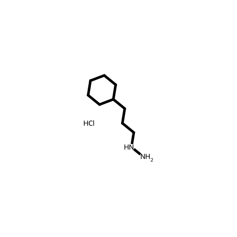 Cl.NNCCCC1CCCCC1